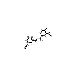 COc1cc(C(=O)/C=C/c2cccc(C#N)c2)ccc1C